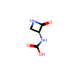 O=C(O)N[C@H]1CNC1=O